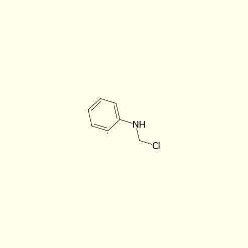 ClCNc1[c]cccc1